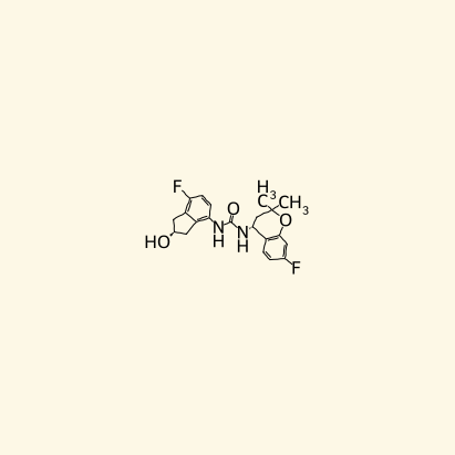 CC1(C)C[C@@H](NC(=O)Nc2ccc(F)c3c2C[C@@H](O)C3)c2ccc(F)cc2O1